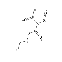 CCCOC(=O)C(C=O)C(C)=O